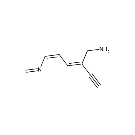 C#C/C(=C/C=C\N=C)CN